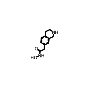 O=C(Cc1ccc2c(c1)CNCC2)NO